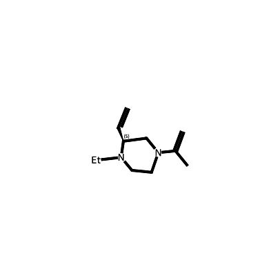 C=C[C@H]1CN(C(=C)C)CCN1CC